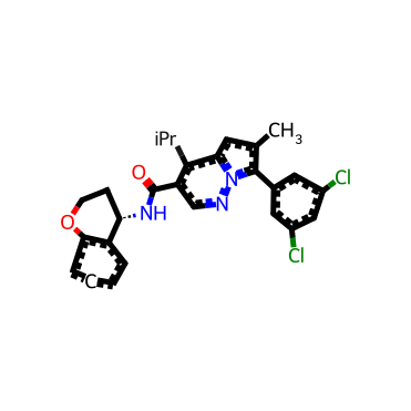 Cc1cc2c(C(C)C)c(C(=O)N[C@H]3CCOc4ccccc43)cnn2c1-c1cc(Cl)cc(Cl)c1